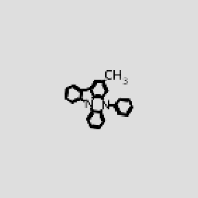 Cc1cc2c3c(c1)c1ccccc1n3-c1ccccc1N2c1ccccc1